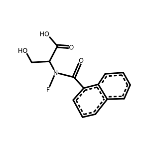 O=C(O)C(CO)N(F)C(=O)c1cccc2ccccc12